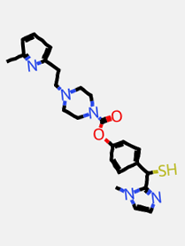 Cc1cccc(CCN2CCN(C(=O)Oc3ccc(C(S)c4nccn4C)cc3)CC2)n1